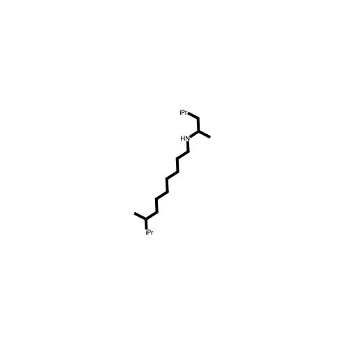 CC(C)CC(C)NCCCCCCCC(C)C(C)C